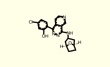 Oc1cc(Cl)ccc1-c1nnc(NC2C[C@H]3CC[C@@H](C2)O3)c2cnccc12